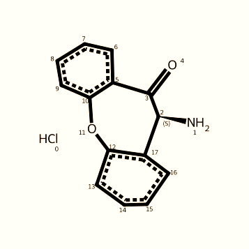 Cl.N[C@@H]1C(=O)c2ccccc2Oc2ccccc21